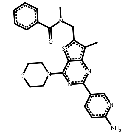 Cc1c(CN(C)C(=O)c2ccccc2)sc2c(N3CCOCC3)nc(-c3ccc(N)nc3)nc12